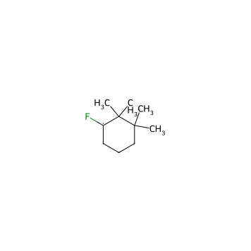 CC1(C)CCC[C](F)C1(C)C